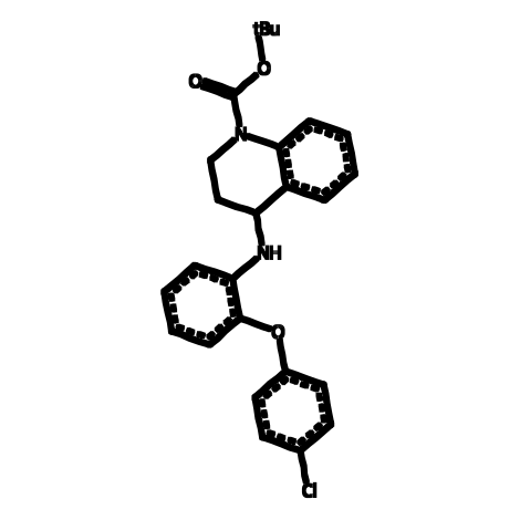 CC(C)(C)OC(=O)N1CCC(Nc2ccccc2Oc2ccc(Cl)cc2)c2ccccc21